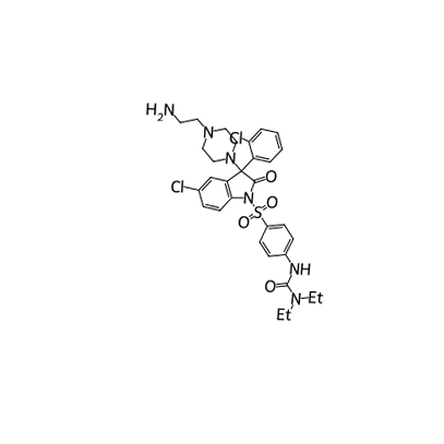 CCN(CC)C(=O)Nc1ccc(S(=O)(=O)N2C(=O)C(c3ccccc3Cl)(N3CCN(CCN)CC3)c3cc(Cl)ccc32)cc1